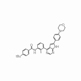 Cc1c(NC(=O)c2ccc(C(C)(C)C)cc2)cccc1-c1ncnc2[nH]c(-c3ccc(N4CCOCC4)cc3)cc12